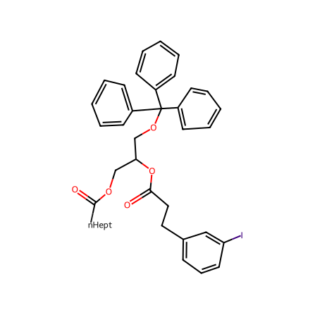 CCCCCCCC(=O)OCC(COC(c1ccccc1)(c1ccccc1)c1ccccc1)OC(=O)CCc1cccc(I)c1